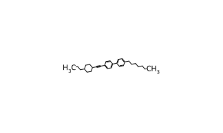 CCCCCCCc1ccc(-c2ccc(C#CC3CCC(CCC)CC3)cc2)cc1